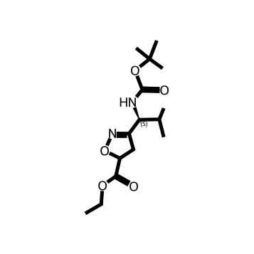 CCOC(=O)C1CC([C@@H](NC(=O)OC(C)(C)C)C(C)C)=NO1